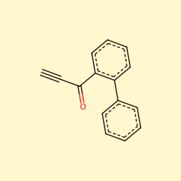 C#CC(=O)c1ccccc1-c1ccccc1